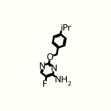 CC(C)c1ccc(COc2ncc(F)c(N)n2)cc1